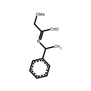 COC/C(C=O)=N/C(C)c1ccccc1